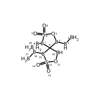 BBB1OS(=O)(=O)B(B)C12BOS(=O)(=O)B2B(B)B